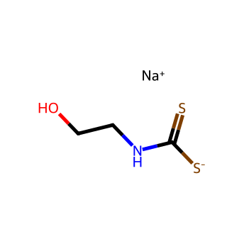 OCCNC(=S)[S-].[Na+]